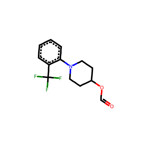 O=COC1CCN(c2ccccc2C(F)(F)F)CC1